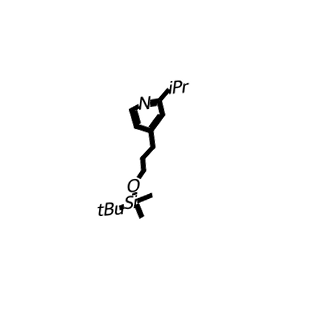 CC(C)c1cc(CCCO[Si](C)(C)C(C)(C)C)ccn1